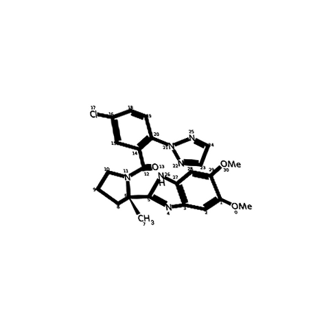 COc1cc2nc([C@]3(C)CCCN3C(=O)c3cc(Cl)ccc3-n3nccn3)[nH]c2cc1OC